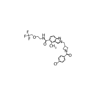 Cc1c(C(=O)NCCOCC(F)(F)F)ccc2nn(CC3CN(C(=O)c4ccc(Cl)cc4)C3)cc12